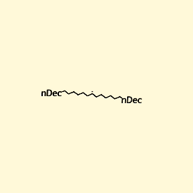 CCCCCCCCCCCCCCCC[CH]CCCCCCCCCCCCCCCC